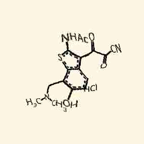 CC(=O)Nc1sc2c(CN(C)C)c(O)ccc2c1C(=O)C(=O)C#N.Cl